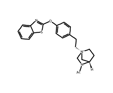 CC(=O)N1C[N@@+]2(CCc3ccc(Oc4nc5ccccc5s4)cc3)CC[C@H]1C2